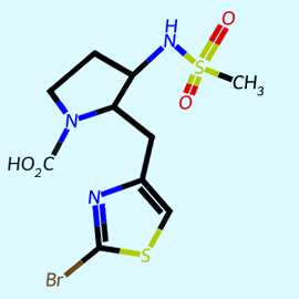 CS(=O)(=O)NC1CCN(C(=O)O)C1Cc1csc(Br)n1